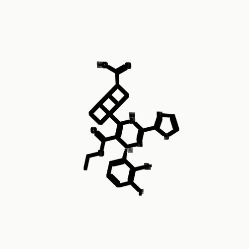 CCOC(=O)C1=C(C23C4C5C2C2C3C4C52C(=O)O)NC(c2nccs2)=N[C@@H]1c1cccc(F)c1Br